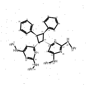 CCCNc1cc([C@@H]2[C@@H](c3ccccc3)[C@@H](c3ccccc3)[C@@H]2c2cc(NCCC)nc(NCCC)n2)nc(NCCC)n1